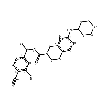 C[C@@H](NC(=O)N1CCc2cnc(NC3CCOCC3)nc2C1)c1ccc(C#N)c(Cl)c1